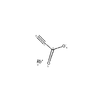 C#CC(=O)[O-].[Rb+]